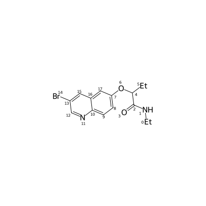 CCNC(=O)C(CC)Oc1ccc2ncc(Br)cc2c1